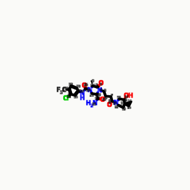 C[C@@H]1C(=O)N(CCCC(=O)N2CCC3(CC3)[C@H](O)C2)[C@@H](C(N)=O)CN1C(=O)Nc1ccc(C(F)(F)F)c(Cl)c1